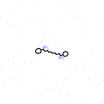 NC(CCCCCCCCC(N)C1CCCCCC1)C1CCCCCC1